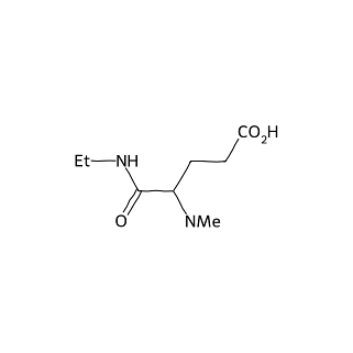 CCNC(=O)C(CCC(=O)O)NC